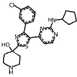 OC1(c2nc(-c3cccc(Cl)c3)c(-c3ccnc(NC4CCCC4)n3)s2)CCNCC1